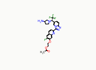 CC(=O)OCCOc1cc2nc(-c3nnc4ccc([C@@H](N5CCC(N)C5)C(F)(F)F)cn34)ccc2cc1F